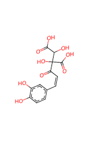 O=C(O)C(O)C(O)(C(=O)O)C(=O)/C=C\c1ccc(O)c(O)c1